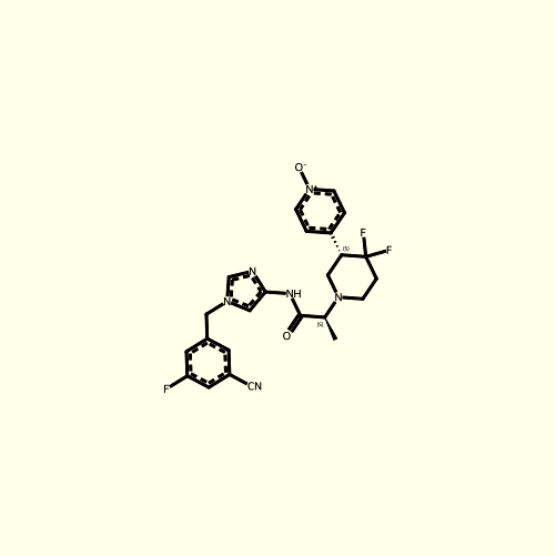 C[C@@H](C(=O)Nc1cn(Cc2cc(F)cc(C#N)c2)cn1)N1CCC(F)(F)[C@@H](c2cc[n+]([O-])cc2)C1